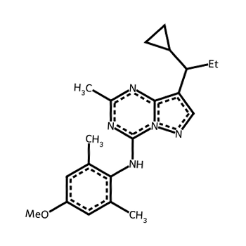 CCC(c1cnn2c(Nc3c(C)cc(OC)cc3C)nc(C)nc12)C1CC1